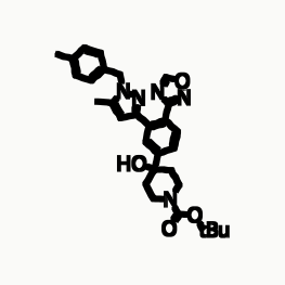 Cc1ccc(Cn2nc(-c3cc(C4(O)CCN(C(=O)OC(C)(C)C)CC4)ccc3-c3ncon3)cc2C)cc1